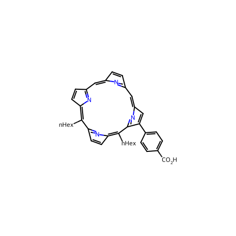 CCCCCCC1=C2C=CC(=N2)C=C2C=CC(=N2)C=C2C=C(c3ccc(C(=O)O)cc3)C(=N2)C(CCCCCC)=C2C=CC1=N2